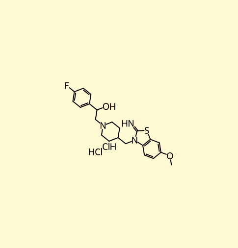 COc1ccc2c(c1)sc(=N)n2CC1CCN(CC(O)c2ccc(F)cc2)CC1.Cl.Cl